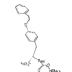 CC(C)(C)OC(=O)N[C@@H](CCc1ccc(OCc2ccccc2)cc1)C(=O)O